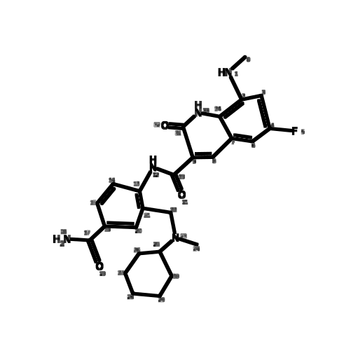 CNc1cc(F)cc2cc(C(=O)Nc3ccc(C(N)=O)cc3CN(C)C3CCCCC3)c(=O)[nH]c12